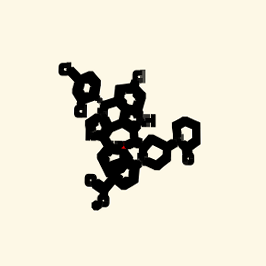 C=C(Nc1cc(C(=O)OC)ccc1N1CCC(N2CCCCC2=O)CC1)c1[nH]c2cc(Cl)cc3c2c1-c1c(-c2ccccc2)ncn1[C@@H]3c1ccc(Cl)cc1Cl